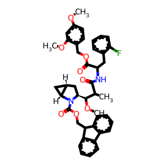 COc1ccc(COC(=O)C(Cc2ccccc2F)NC(=O)C(C)C(OC)[C@@H]2C[C@@H]3C[C@@H]3N2C(=O)OCC2c3ccccc3-c3ccccc32)c(OC)c1